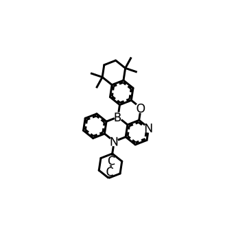 CC1(C)CCC(C)(C)c2cc3c(cc21)Oc1nccc2c1B3c1ccccc1N2C12CCC(CC1)CC2